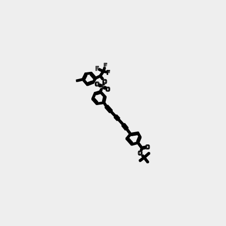 Cc1ccc(C(OS(=O)(=O)c2cccc(C#CC#CC#Cc3ccc(C(=O)OC(C)(C)C)cc3)c2)C(F)(F)F)cc1